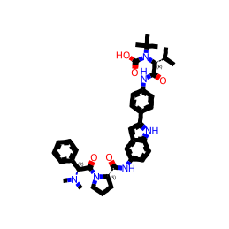 CC(C)[C@H](C(=O)Nc1ccc(-c2cc3cc(NC(=O)[C@@H]4CCCN4C(=O)[C@@H](c4ccccc4)N(C)C)ccc3[nH]2)cc1)N(C(=O)O)C(C)(C)C